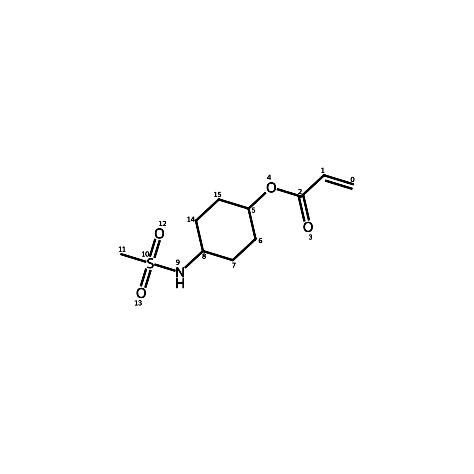 C=CC(=O)OC1CCC(NS(C)(=O)=O)CC1